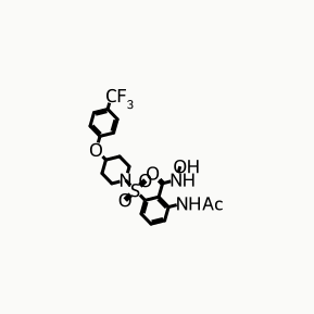 CC(=O)Nc1cccc(S(=O)(=O)N2CCC(Oc3ccc(C(F)(F)F)cc3)CC2)c1C(=O)NO